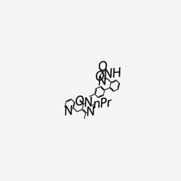 CCCc1nc(C)c(Cc2ccccn2)c(=O)n1Cc1ccc(-c2ccccc2-c2noc(=O)[nH]2)cc1